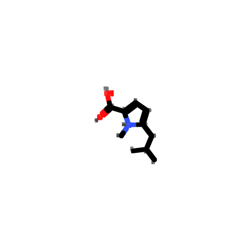 CC(C)Cc1ccc(C(=O)O)n1C